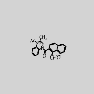 CC(=O)N1c2ccccc2N(C(=O)c2ccc3ccccc3c2C=O)C[C@@H]1C